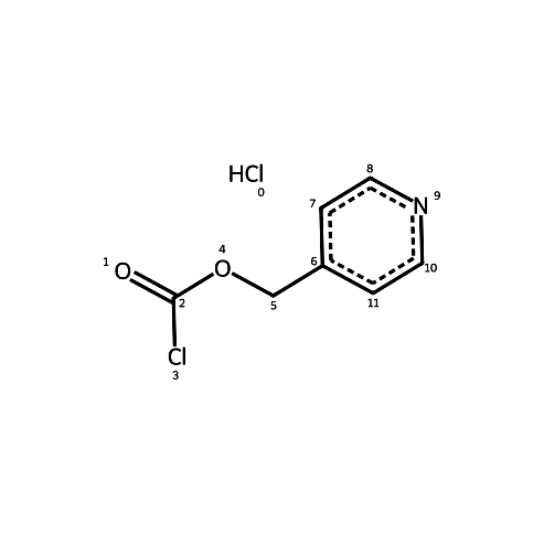 Cl.O=C(Cl)OCc1ccncc1